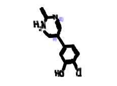 C=C(N)/N=C\C(=C/C)c1ccc(Cl)c(O)c1